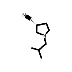 CC(C)CN1CC[C@@H](C#N)C1